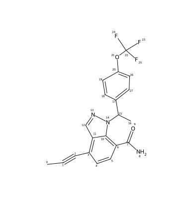 CC#Cc1ccc(C(N)=O)c2c1cnn2C(C)c1ccc(OC(F)(F)F)cc1